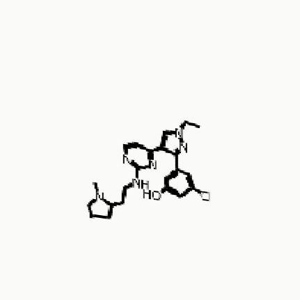 CCn1cc(-c2ccnc(NCCC3CCCN3C)n2)c(-c2cc(O)cc(Cl)c2)n1